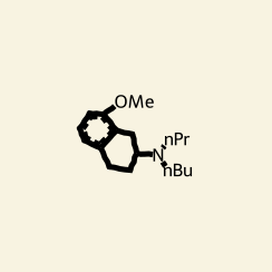 CCCCN(CCC)C1CCc2cccc(OC)c2C1